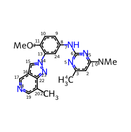 CNc1cc(C)nc(Nc2ccc(OC)c(-n3cc4cncc(C)c4n3)c2)n1